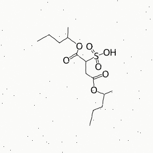 CCCC(C)OC(=O)CC(C(=O)OC(C)CCC)S(=O)(=O)O